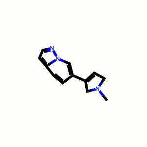 CN1CC=C(c2ccc3ccnn3c2)C1